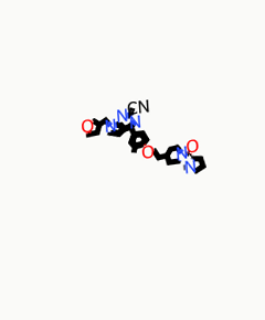 Cc1cc(-c2nc(C#N)nc3c2ccn3CC2CCOC2)ccc1OCCC1CCN(C(=O)[C@@H]2CCCN2C)CC1